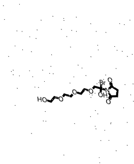 O=C1CCC(=O)N1C(O)(Br)COCCOCCOCCO